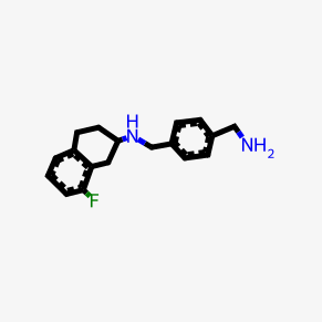 NCc1ccc(CNC2CCc3cccc(F)c3C2)cc1